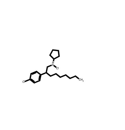 CCCCCCCC(C[SiH](Cl)C1CCCC1)c1ccc(Cl)cc1